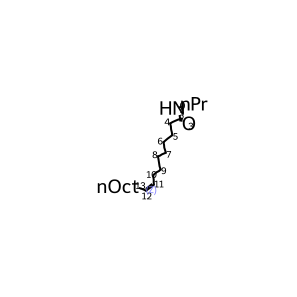 [CH2]CCNC(=O)CCCCCCC/C=C\CCCCCCCC